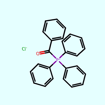 O=C(c1ccccc1)[P+](c1ccccc1)(c1ccccc1)c1ccccc1.[Cl-]